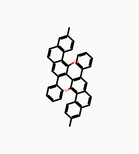 Cc1ccc2c(ccc3cc(-c4ccccc4)c(-c4c(-c5ccccc5)cc5ccc6cc(C)ccc6c5c4O)c(O)c32)c1